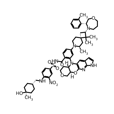 Cc1ccccc1[C@@H]1COCCCN1[C@H]1C[C@]2(CCN(c3ccc(C(=O)NS(=O)(=O)c4ccc(NC[C@H]5CC[C@](C)(O)CC5)c([N+](=O)[O-])c4)c(N4c5cc6cc[nH]c6nc5O[C@H]5COCC[C@@H]54)c3)[C@H](C)C2)C1(C)C